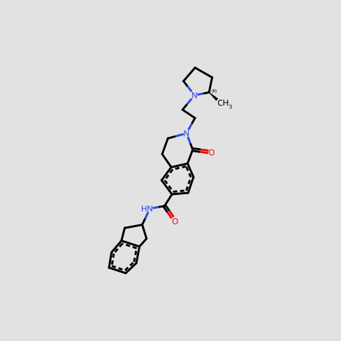 C[C@@H]1CCCN1CCN1CCc2cc(C(=O)NC3Cc4ccccc4C3)ccc2C1=O